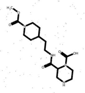 COC(=O)N1CCC(CCNC(=O)C2CNCCN2C(=O)O)CC1